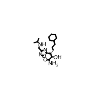 CC(C)NCc1noc([C@H](CCCC2CCCCC2)C(O)C(N)=O)n1